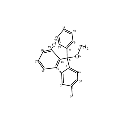 Cc1ccc(C(OP)(c2ccccc2)c2ccccc2Cl)cc1